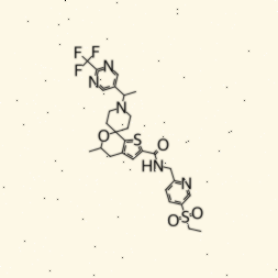 CCS(=O)(=O)c1ccc(CNC(=O)c2cc3c(s2)C2(CCN(C(C)c4cnc(C(F)(F)F)nc4)CC2)OC(C)C3)nc1